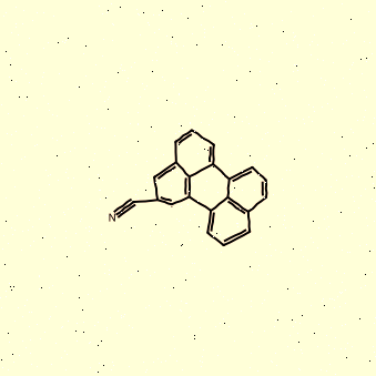 N#Cc1[c]c2c3cccc4cccc(c5cccc(c1)c25)c43